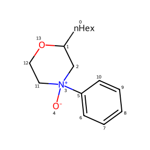 CCCCCCC1C[N+]([O-])(c2ccccc2)CCO1